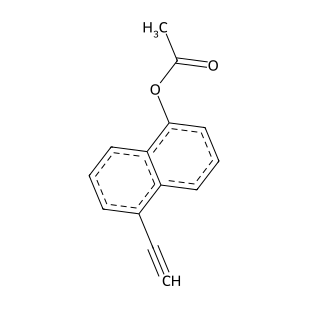 C#Cc1cccc2c(OC(C)=O)cccc12